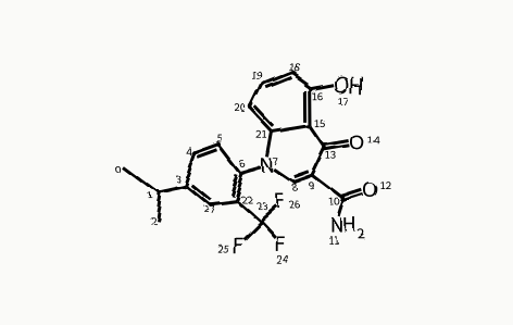 CC(C)c1ccc(-n2cc(C(N)=O)c(=O)c3c(O)cccc32)c(C(F)(F)F)c1